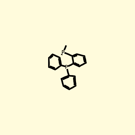 CP(C)c1ccccc1P(c1ccccc1)c1ccccc1